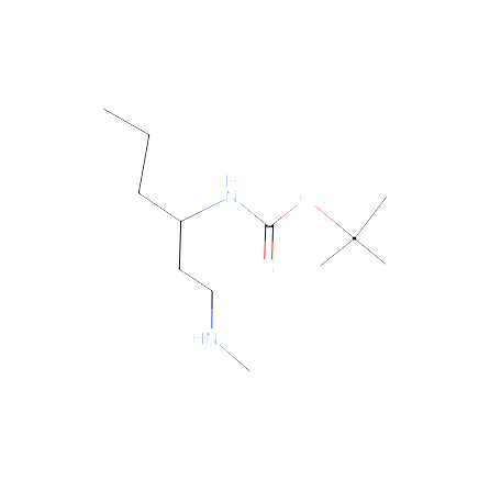 CCCC(CCNC)NC(=O)OC(C)(C)C